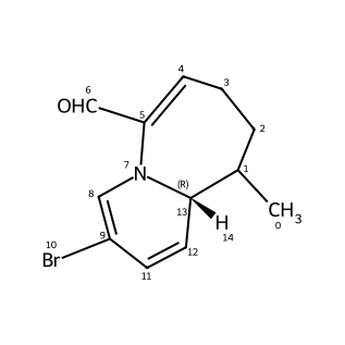 CC1CCC=C(C=O)N2C=C(Br)C=C[C@@H]12